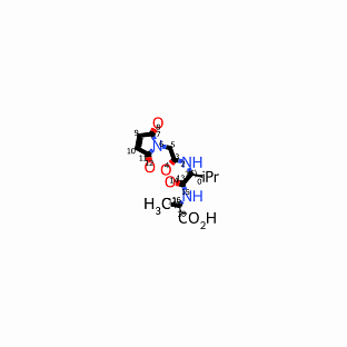 CC(C)[C@H](NC(=O)CN1C(=O)C=CC1=O)C(=O)N[C@@H](C)C(=O)O